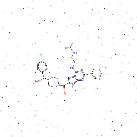 CC(=O)NCCNc1nc(-c2ccccc2)nc2[nH]c(C(=O)N3CCC(C(O)c4ccc(F)cc4)CC3)cc12